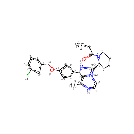 C=CC(=O)N1CCCC[C@H]1c1nc(-c2ccc(OCc3cccc(F)c3)cc2)c2c(C)nccn12